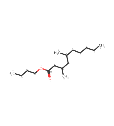 CCCCCC(C)CC(C)CC(=O)OCCCC